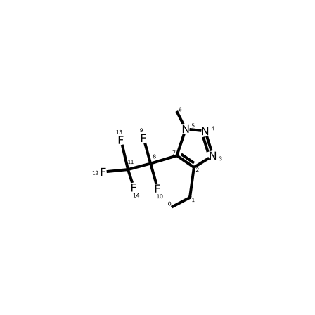 CCc1nnn(C)c1C(F)(F)C(F)(F)F